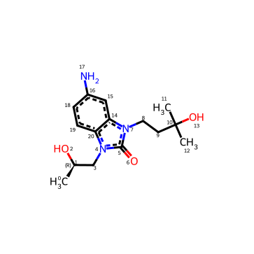 C[C@@H](O)Cn1c(=O)n(CCC(C)(C)O)c2cc(N)ccc21